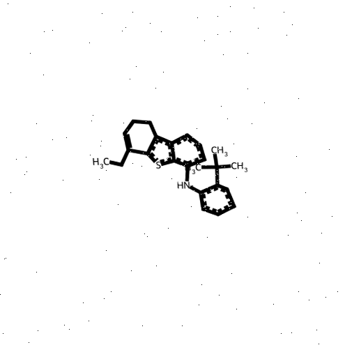 CCC1=CCCc2c1sc1c(Nc3ccccc3C(C)(C)C)cccc21